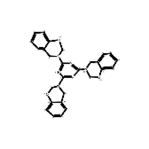 c1ccc2c(c1)CN(c1nc(N3COc4ccccc4C3)nc(N3COc4ccccc4C3)n1)CO2